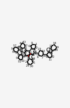 c1ccc(N(c2ccc(-c3cccc4c3oc3ccccc34)cc2)c2ccc3ccccc3c2)c(-c2cccc3c2-c2ccccc2C32c3ccccc3-c3ccccc32)c1